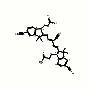 CC1(C)C(/C=C/C(C#N)=C/C=C2/N(CCC(=O)O)c3ccc(C#N)cc3C2(C)C)=[N+](CCC(=O)O)c2ccc(C#N)cc21